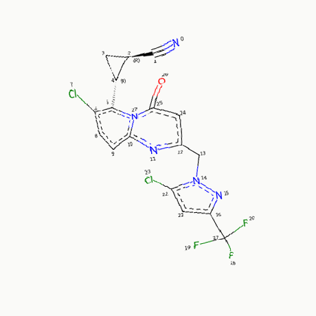 N#C[C@@H]1C[C@H]1c1c(Cl)ccc2nc(Cn3nc(C(F)(F)F)cc3Cl)cc(=O)n12